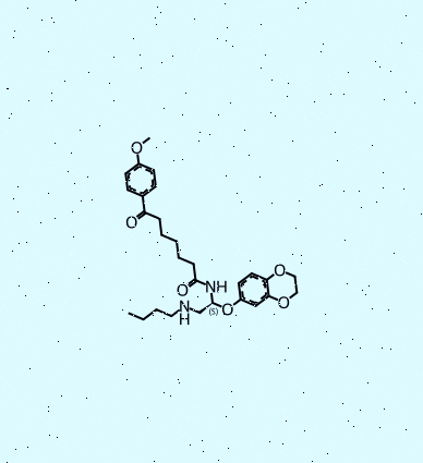 CCCCNC[C@@H](NC(=O)CCCCCC(=O)c1ccc(OC)cc1)Oc1ccc2c(c1)OCCO2